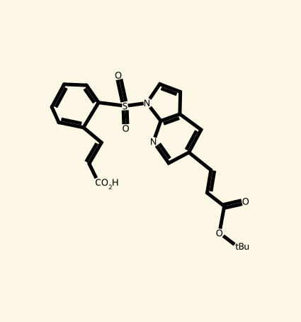 CC(C)(C)OC(=O)/C=C/c1cnc2c(ccn2S(=O)(=O)c2ccccc2C=CC(=O)O)c1